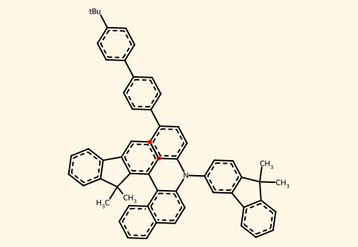 CC(C)(C)c1ccc(-c2ccc(-c3ccc(N(c4ccc5c(c4)-c4ccccc4C5(C)C)c4ccc5ccccc5c4-c4cccc5c4C(C)(C)c4ccccc4-5)cc3)cc2)cc1